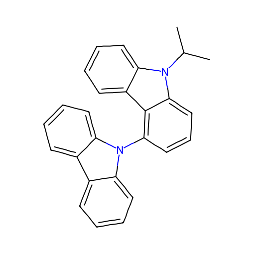 CC(C)n1c2ccccc2c2c(-n3c4ccccc4c4ccccc43)cccc21